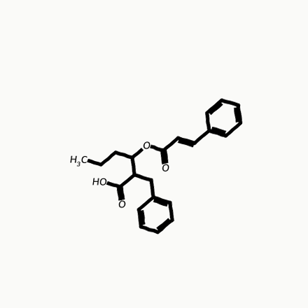 CCCC(OC(=O)C=Cc1ccccc1)C(Cc1ccccc1)C(=O)O